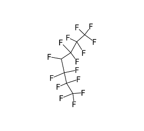 FC(C(F)(F)C(F)(F)C(F)(F)F)C(F)(F)C(F)(F)C(F)(F)F